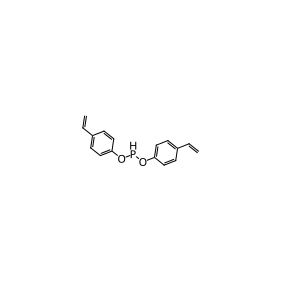 C=Cc1ccc(OPOc2ccc(C=C)cc2)cc1